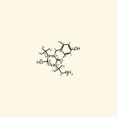 Cc1cc(O)cc(C)c1C[C@@H](C(=O)NC(C)(C)CN)N(C(=O)O)C(C)(C)C